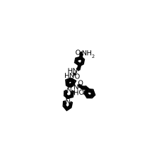 NC(=O)C1CCC(CNC(=O)Nc2ccc(N3CCC(N4CCCCC4)CC3)c(NC(=O)c3cc4ccccc4o3)c2)CC1